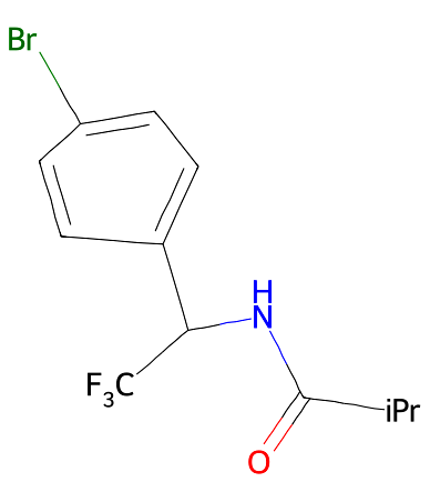 CC(C)C(=O)NC(c1ccc(Br)cc1)C(F)(F)F